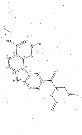 C=CCN(CC=C)C(=O)c1ccc2[nH]c3cnc(C(=O)OCC)c(COC)c3c2c1